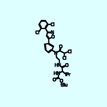 CC(C)C(NC(=O)OC(C)(C)C)C(=O)NCCN(C(=O)C(Cl)Cl)c1cccc(-c2cc(-c3c(Cl)cccc3Cl)no2)c1